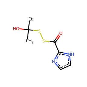 CCC(C)(O)SSC(=O)c1ncc[nH]1